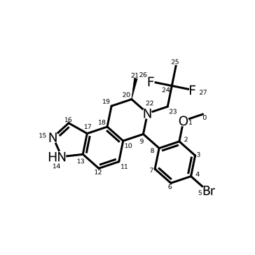 COc1cc(Br)ccc1C1c2ccc3[nH]ncc3c2C[C@@H](C)N1CC(C)(F)F